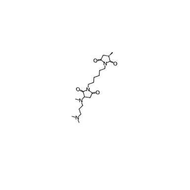 C[C@@H]1CC(=O)N(CCCCCCN2C(=O)CC(N(C)CCCN(C)C)C2=O)C1=O